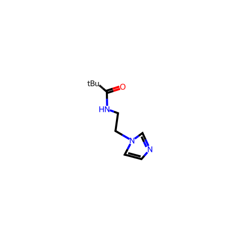 CC(C)(C)C(=O)NCCn1ccnc1